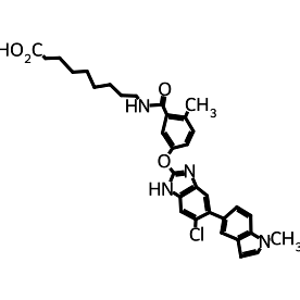 Cc1ccc(Oc2nc3cc(-c4ccc5c(ccn5C)c4)c(Cl)cc3[nH]2)cc1C(=O)NCCCCCCCCC(=O)O